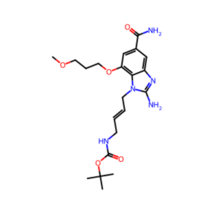 COCCCOc1cc(C(N)=O)cc2nc(N)n(C/C=C/CNC(=O)OC(C)(C)C)c12